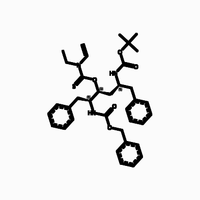 C=CN(CC)C(=S)O[C@@H](C[C@H](Cc1ccccc1)NC(=O)OC(C)(C)C)[C@H](Cc1ccccc1)NC(=O)OCc1ccccc1